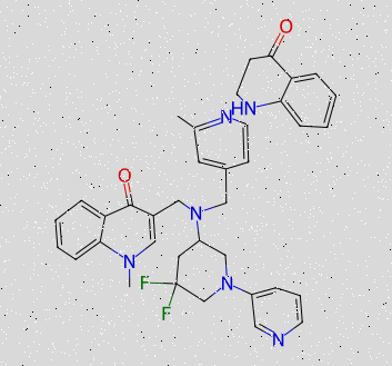 Cc1cc(CN(Cc2cn(C)c3ccccc3c2=O)C2CN(c3cccnc3)CC(F)(F)C2)ccn1.O=C1CCNc2ccccc21